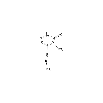 B/B=B\c1cn[nH]c(=O)c1B